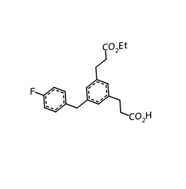 CCOC(=O)CCc1cc(CCC(=O)O)cc(Cc2ccc(F)cc2)c1